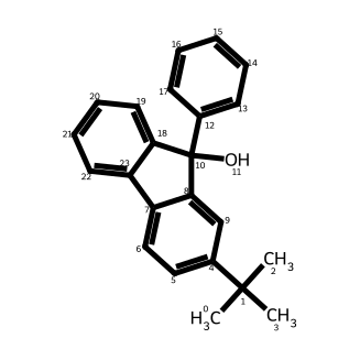 CC(C)(C)c1ccc2c(c1)C(O)(c1ccccc1)c1ccccc1-2